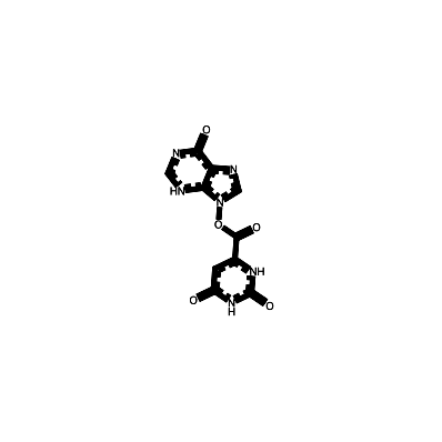 O=C(On1cnc2c(=O)nc[nH]c21)c1cc(=O)[nH]c(=O)[nH]1